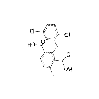 Cc1ccc(C(=O)O)c(Cc2cc(Cl)ccc2Cl)c1C(=O)O